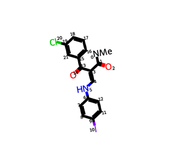 CNC(=O)C(=CNc1ccc(I)cc1)C(=O)c1cccc(Cl)c1